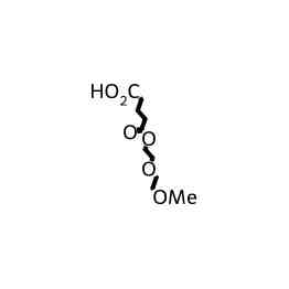 COCCOCCOC(=O)CCCC(=O)O